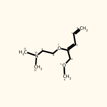 C=C/C=C(/COC)OCCN(C)C